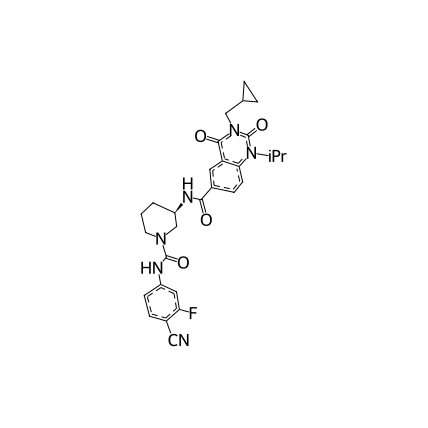 CC(C)n1c(=O)n(CC2CC2)c(=O)c2cc(C(=O)N[C@@H]3CCCN(C(=O)Nc4ccc(C#N)c(F)c4)C3)ccc21